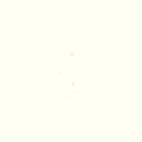 CCC(C)CCc1ccc2c(c1)C(C)(C)c1cc(-c3ccc(-c4ccc5c(c4)C(C)(C)c4cc(CCC(C)C)ccc4-5)c4nsnc34)ccc1-2